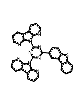 c1ccc2c(c1)sc1ccc(-c3nc(-n4c5ncccc5c5cccnc54)nc(-n4c5ncccc5c5cccnc54)n3)cc12